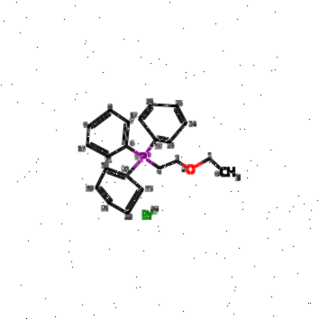 CCOCC[P+](c1ccccc1)(c1ccccc1)c1ccccc1.[Br-]